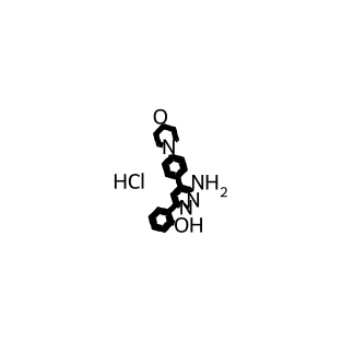 Cl.Nc1nnc(-c2ccccc2O)cc1-c1ccc(N2CCC(=O)CC2)cc1